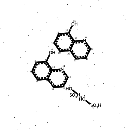 O=S(=O)(O)O.O=S(=O)(O)O.Oc1cccc2cccnc12.Oc1cccc2cccnc12